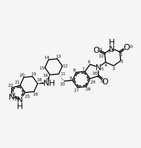 O=C1CCC(N2Cc3cc(C[C@H]4CCCC[C@@H]4N[C@@H]4CCc5cn[nH]c5C4)ccc3C2=O)C(=O)N1